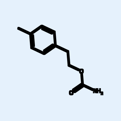 Cc1ccc(CCOC(N)=O)cc1